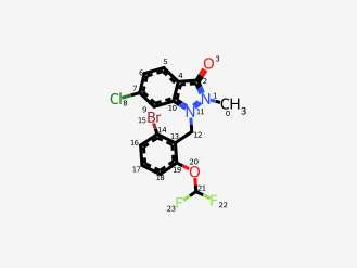 Cn1c(=O)c2ccc(Cl)cc2n1Cc1c(Br)cccc1OC(F)F